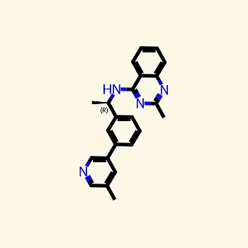 Cc1cncc(-c2cccc([C@@H](C)Nc3nc(C)nc4ccccc34)c2)c1